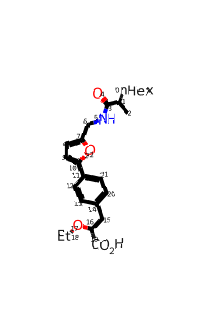 CCCCCCC(C)C(=O)NCc1ccc(-c2ccc(CC(OCC)C(=O)O)cc2)o1